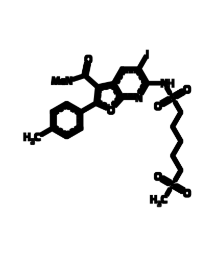 CNC(=O)c1c(-c2ccc(C)cc2)oc2nc(NS(=O)(=O)CCCCCS(C)(=O)=O)c(I)cc12